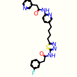 O=C(Cc1cccnc1)Nc1ccc(CCCCc2nnc(NC(=O)Cc3cccc(F)c3)s2)cn1